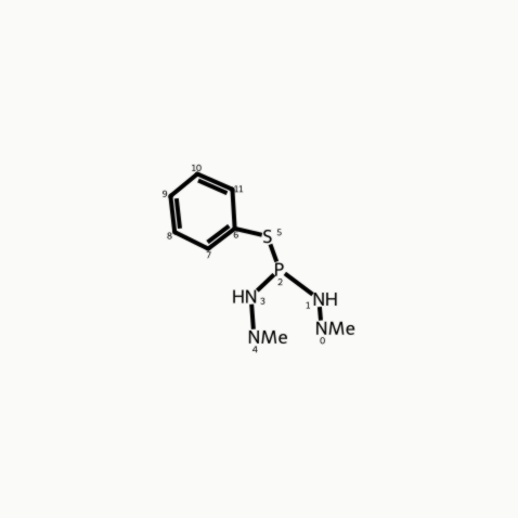 CNNP(NNC)Sc1ccccc1